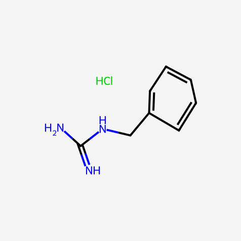 Cl.N=C(N)NCc1ccccc1